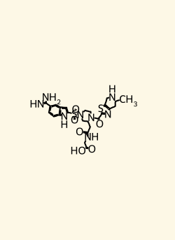 CC1Cc2nc(C(=O)N3CCN(S(=O)(=O)c4cc5cc(C(=N)N)ccc5[nH]4)CC3CC(=O)NCC(=O)O)sc2CN1